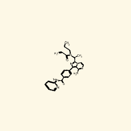 C=CC(=O)N(CCC)[C@@H](C)c1nc(-c2ccc(C(=O)Nc3ccccn3)cc2)c2c(N)nccn12